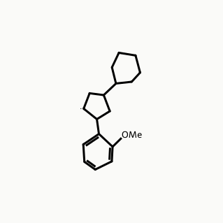 COc1ccccc1C1[CH]CC(C2CCCCC2)C1